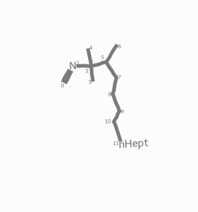 C=NC(C)(C)C(C)CCCCCCCCCCC